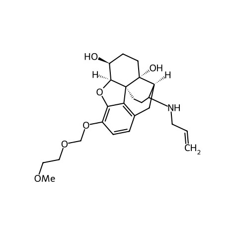 C=CCNC1CC[C@]23c4c5ccc(OCOCCOC)c4O[C@H]2[C@@H](O)CC[C@@]3(O)[C@H]1C5